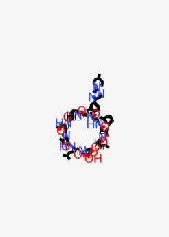 CC[C@H](C)[C@@H]1NC(=O)[C@@H]2CCCN2C(=O)[C@H](Cc2cccc(-c3cnc(N4CCC(C)CC4)cn3)c2)N(C)C(=O)[C@H](Cc2ccccc2)NC(=O)[C@H](C(C)C)N(C)C(=O)[C@@H]([C@@H](C)CC)OC(=O)[C@H](C(C)(C)O)N(C)C(=O)[C@H](CCC(C)C)NC(=O)[C@H](C(C)C)N(C)C1=O